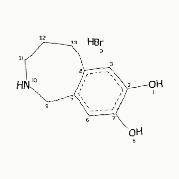 Br.Oc1cc2c(cc1O)CNCCC2